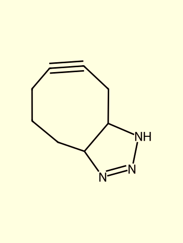 C1#CCC2NN=NC2CCC1